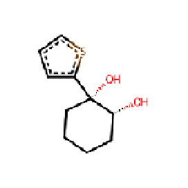 O[C@@H]1CCCC[C@@]1(O)c1cccs1